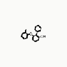 Cc1ccccc1Oc1cccc(O)c1-c1ccccc1